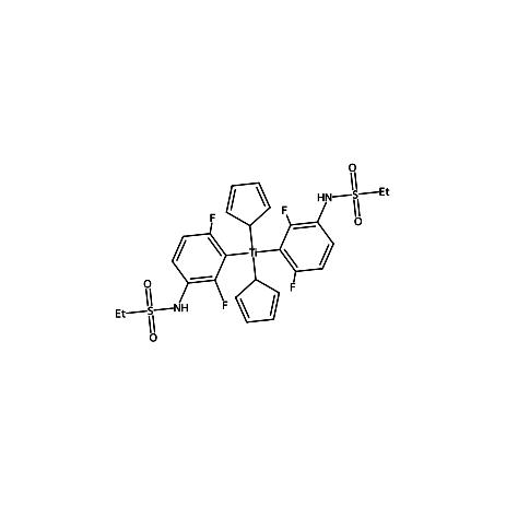 CCS(=O)(=O)Nc1ccc(F)[c]([Ti]([c]2c(F)ccc(NS(=O)(=O)CC)c2F)([CH]2C=CC=C2)[CH]2C=CC=C2)c1F